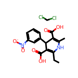 CCC1=C(C(=O)O)C(c2cccc([N+](=O)[O-])c2)C(C(=O)O)=C(C)N1.ClCCl